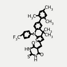 Cc1cc(C)c(-c2ccc3c(c2)C(C)(C)c2cc(C=C4C(=O)NC(=S)NC4=O)sc2N3c2ccc(C(F)(F)F)cc2)c(C)c1